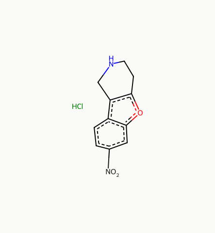 Cl.O=[N+]([O-])c1ccc2c3c(oc2c1)CCNC3